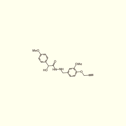 C#CCOc1ccc(CNNC(=O)C(O)c2ccc(OC)cc2)cc1OC